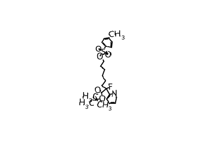 Cc1ccc(S(=O)(=O)OCCCCCCC(F)(C(=O)OC(C)(C)C)c2ccccn2)cc1